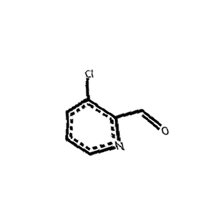 O=Cc1ncccc1Cl